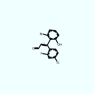 O=C/C=C(\c1ccc(Cl)cc1F)c1c(O)cccc1Br